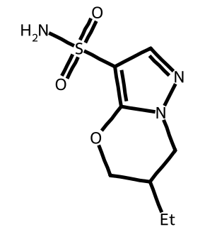 CCC1COc2c(S(N)(=O)=O)cnn2C1